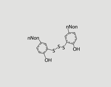 CCCCCCCCCc1ccc(O)c(SSSc2cc(CCCCCCCCC)ccc2O)c1